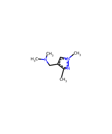 Cc1nn(C)cc1CN(C)C